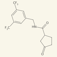 O=C1CCC(C(=O)NCc2cc(C(F)(F)F)cc(C(F)(F)F)c2)C1